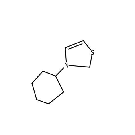 C1=CN(C2CCCCC2)CS1